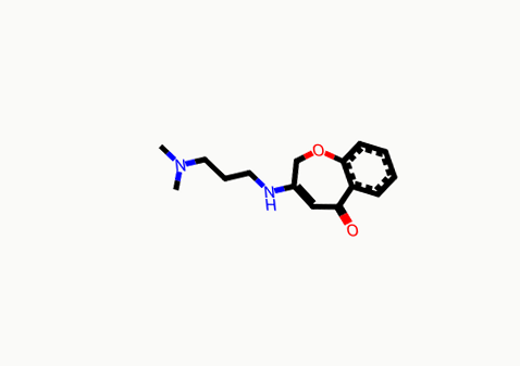 CN(C)CCCNC1=CC(=O)c2ccccc2OC1